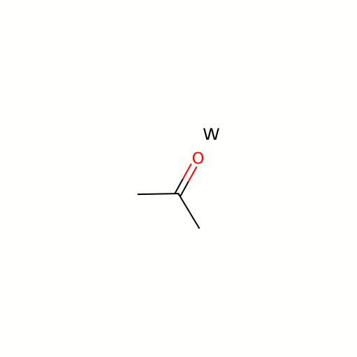 CC(C)=O.[W]